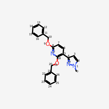 Cn1ccc(-c2ccc(OCc3ccccc3)nc2OCc2ccccc2)n1